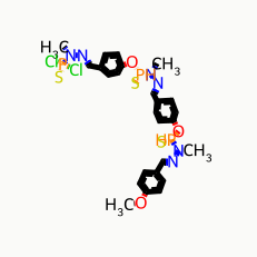 COc1ccc(/C=N/N(C)[PH](=S)Oc2ccc(/C=N/N(C)[PH](=S)Oc3ccc(/C=N/N(C)P(=S)(Cl)Cl)cc3)cc2)cc1